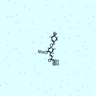 COc1cc(OCc2ccc(Br)cc2)ccc1/C=C/C(=O)NO